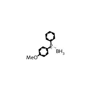 B.COc1ccc([P@@](C)c2ccccc2)cc1